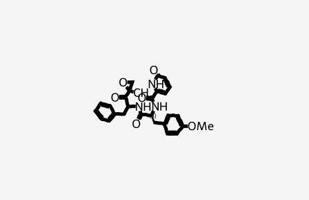 COc1ccc(C[C@H](NC(=O)c2cccc(=O)[nH]2)C(=O)NC(Cc2ccccc2)C(=O)C2(C)CO2)cc1